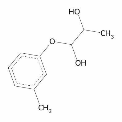 Cc1cccc(OC(O)C(C)O)c1